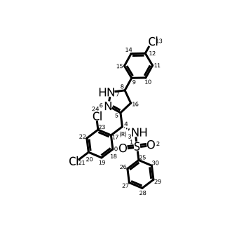 O=S(=O)(N[C@@H](C1=NNC(c2ccc(Cl)cc2)C1)c1ccc(Cl)cc1Cl)c1ccccc1